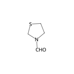 O=CN1CCSC1